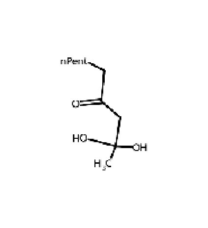 CCCCCCC(=O)CC(C)(O)O